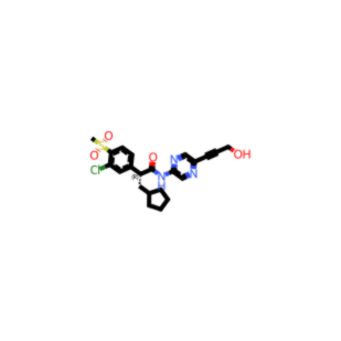 CS(=O)(=O)c1ccc([C@@H](CC2CCCC2)C(=O)Nc2cnc(C#CCO)cn2)cc1Cl